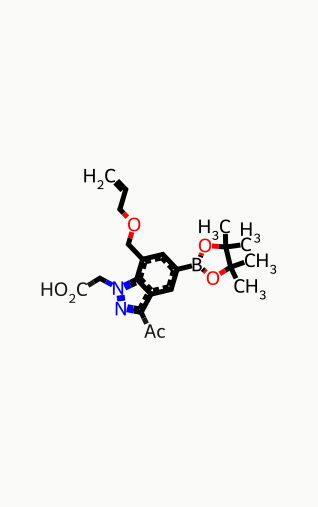 C=CCOCc1cc(B2OC(C)(C)C(C)(C)O2)cc2c(C(C)=O)nn(CC(=O)O)c12